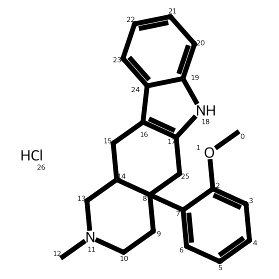 COc1ccccc1C12CCN(C)CC1Cc1c([nH]c3ccccc13)C2.Cl